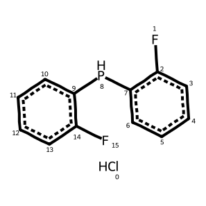 Cl.Fc1ccccc1Pc1ccccc1F